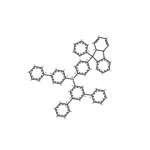 C1=CC2c3ccccc3C(c3ccccc3)(c3ccc(N(c4ccc(-c5ccccc5)cc4)c4cc(-c5ccccc5)cc(-c5ccccc5)c4)cc3)C2C=C1